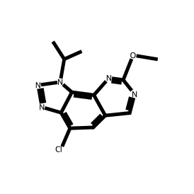 COc1ncc2cc(Cl)c3nnn(C(C)C)c3c2n1